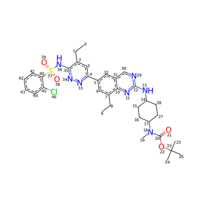 CCc1cc(-c2cc(CC)c3nc(NC4CCC(N(C)C(=O)OC(C)(C)C)CC4)ncc3c2)nnc1NS(=O)(=O)c1ccccc1Cl